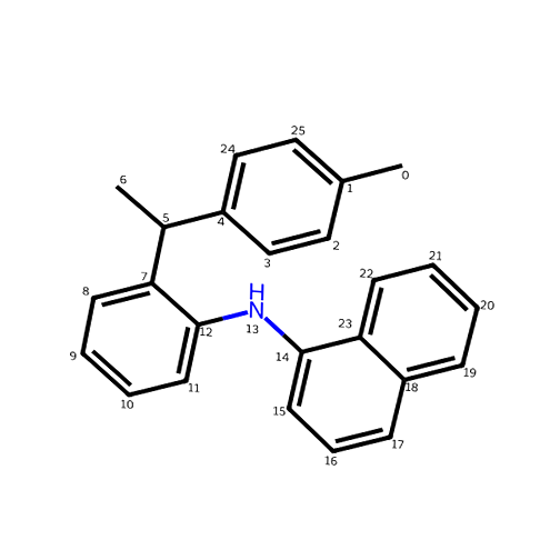 Cc1ccc(C(C)c2ccccc2Nc2cccc3ccccc23)cc1